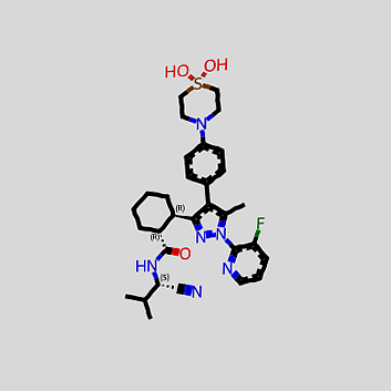 Cc1c(-c2ccc(N3CCS(O)(O)CC3)cc2)c([C@@H]2CCCC[C@H]2C(=O)N[C@H](C#N)C(C)C)nn1-c1ncccc1F